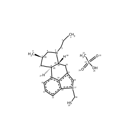 CCCN1C[C@H](C)C[C@@H]2c3cccc4c3c(cn4CS)C[C@H]21.CS(=O)(=O)O